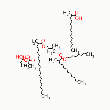 C=C(CCCCCCCCCC)C(=O)OCCCCCCCC.C=C(CCCCCCCCCCCC)C(=O)O.C=C(CCCCCCCCCCCCCCCCCC)C(=O)OCCC(C)C.C=CC(=O)O.C=CC(=O)O